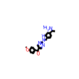 C=C(N)c1ccc(CNc2ncc(C(=O)c3ccc(OC)cc3)cn2)cc1